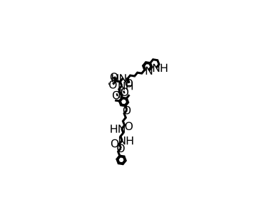 COC(=O)C(NCS(=O)(=O)c1c(C)cc(OCCCC(=O)NCCNC(=O)OCc2ccccc2)cc1C)NC(=O)CCCCc1ccc2c(n1)NCCC2